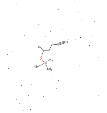 [Li][CH](CCC#C)O[Si](C)(C)C(C)(C)C